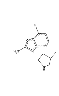 CC1CCNC1.Nc1nc2cccc(F)c2o1